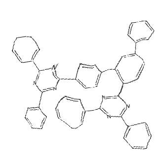 C1=CCC=C(c2nc(-c3ccccc3)nc(-c3ccc(-c4ccccc4)cc3-c3ccc(-c4nc(C5=CCCC=C5)nc(-c5ccccc5)n4)cc3)n2)C=C1